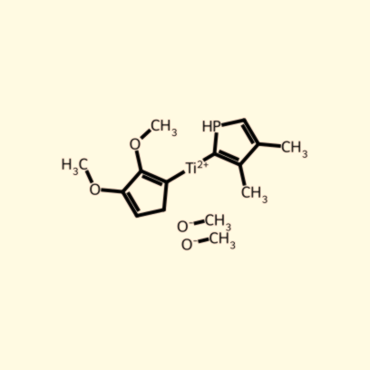 COC1=CC[C]([Ti+2][c]2[pH]cc(C)c2C)=C1OC.C[O-].C[O-]